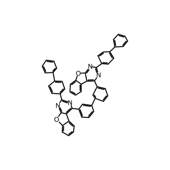 c1ccc(-c2ccc(-c3nc(-c4cccc(-c5cccc(-c6nc(-c7ccc(-c8ccccc8)cc7)nc7oc8ccccc8c67)c5)c4)c4c(n3)oc3ccccc34)cc2)cc1